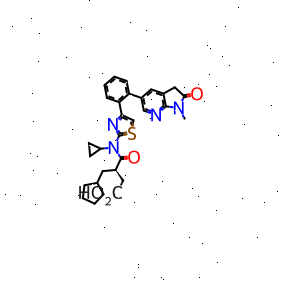 CN1C(=O)Cc2cc(-c3ccccc3-c3csc(N(C(=O)[C@@H](CC(=O)O)CC4CCCC4)C4CC4)n3)cnc21